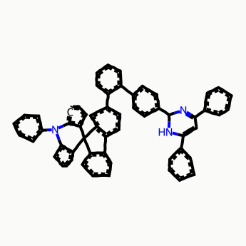 C1=C(c2ccccc2)NC(c2ccc(-c3ccccc3-c3ccc4c(c3)C3(c5ccccc5-4)c4ccccc4N(c4ccccc4)c4ccccc43)cc2)N=C1c1ccccc1